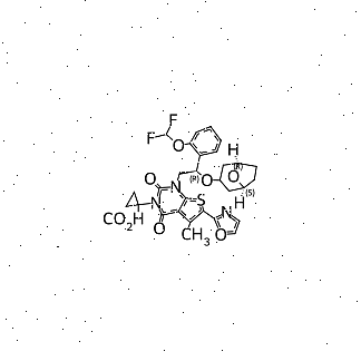 Cc1c(-c2ncco2)sc2c1c(=O)n(C1(C(=O)O)CC1)c(=O)n2C[C@H](OC1C[C@H]2CC[C@@H](C1)O2)c1ccccc1OC(F)F